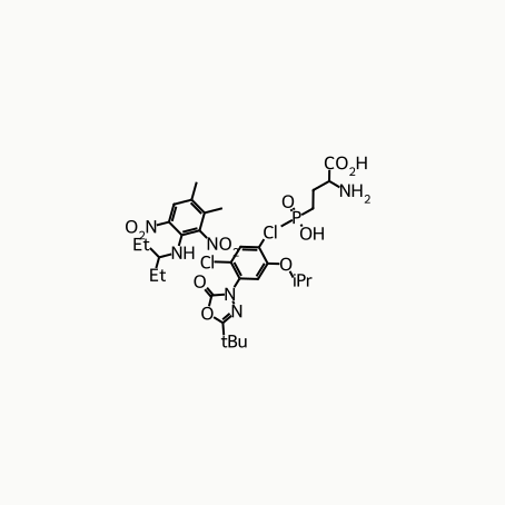 CC(C)Oc1cc(-n2nc(C(C)(C)C)oc2=O)c(Cl)cc1Cl.CCC(CC)Nc1c([N+](=O)[O-])cc(C)c(C)c1[N+](=O)[O-].CP(=O)(O)CCC(N)C(=O)O